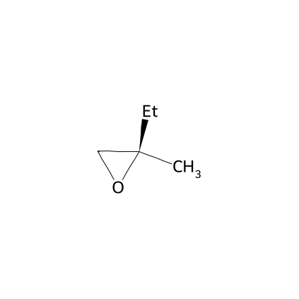 CC[C@]1(C)CO1